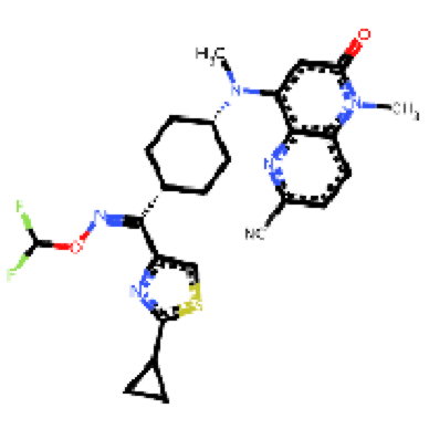 Cn1c(=O)cc(N(C)[C@H]2CC[C@@H](/C(=N/OC(F)F)c3csc(C4CC4)n3)CC2)c2nc(C#N)ccc21